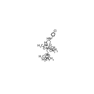 CC(=O)N[C@](CCCCB1OC(C)(C)C(C)(C)O1)(C(=O)NC(C)(C)C)[C@H]1CC[C@H](NCc2ccc(Cl)cc2)CC1